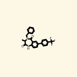 CC1C(=O)Nc2ccc(-c3ccc(C(F)(F)F)cc3)cc2C(=O)N1Cc1ccccc1